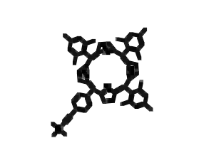 Cc1cc(C)c(C2=C3C=CC(=N3)C(c3ccc(C#C[Si](C)(C)C)cc3)=C3C=CC(=N3)C(c3c(C)cc(C)cc3C)=C3C=CC(=N3)C(c3c(C)cc(C)cc3C)=C3C=CC2=N3)c(C)c1